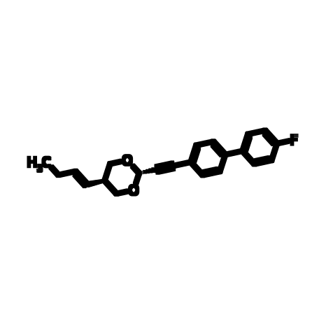 CC/C=C/[C@H]1CO[C@H](C#Cc2ccc(-c3ccc(F)cc3)cc2)OC1